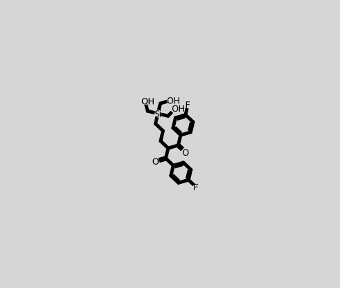 O=C(c1ccc(F)cc1)C(CCC[Si](CO)(CO)CO)C(=O)c1ccc(F)cc1